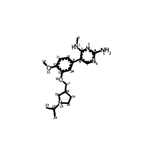 CNc1nc(N)ncc1-c1ccc(OC)c(OCC2CCN(C(C)C)C2)c1